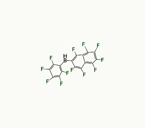 Fc1c(F)c(F)c(Bc2c(F)c(F)c3c(F)c(F)c(F)c(F)c3c2F)c(F)c1F